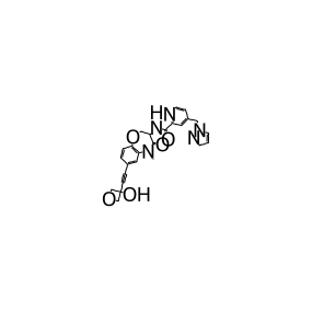 CN1C(=O)C(NC(=O)c2cc(Cn3cccn3)ccn2)COc2ccc(C#CC3(O)COC3)cc21